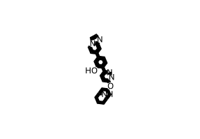 Oc1cc(-c2ccn3ccnc3c2)ccc1-c1ccc(OC2CC3CCCC(C2)N3)nn1